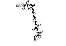 C=C(CONC(=O)OC(C)(C)C)NCCOCCOCCNC(=O)CONC(=O)OC(C)(C)C